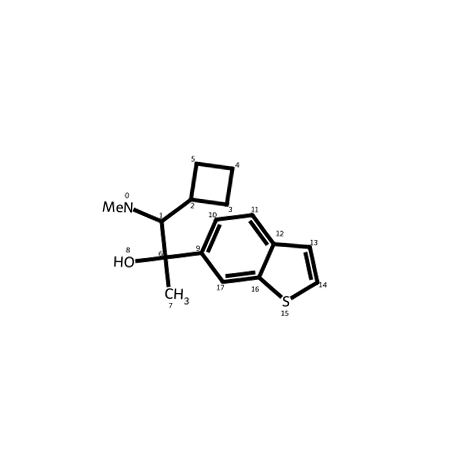 CNC(C1CCC1)C(C)(O)c1ccc2ccsc2c1